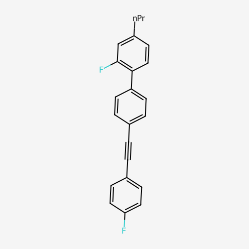 CCCc1ccc(-c2ccc(C#Cc3ccc(F)cc3)cc2)c(F)c1